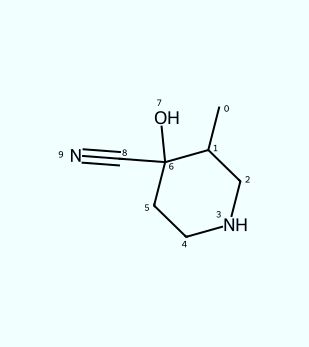 CC1CNCCC1(O)C#N